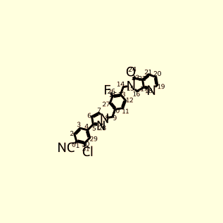 N#Cc1ccc(-c2ccn(Cc3ccc(CN4Cc5ncccc5C4=O)c(F)c3)n2)cc1Cl